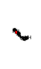 C=C1C=Cc2ccc(OCCCCN3CCc4nn(-c5ccccn5)cc4C3)nc2N1